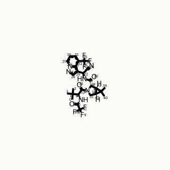 CC(C)(C)[C@H](NC(=O)C(F)(F)F)C(=O)N1C[C@H]2[C@@H]([C@H]1C(=O)NC(C#N)c1cnn3cccc(C(F)(F)F)c13)C2(C)C